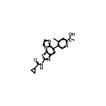 Cc1cc([C@H](C)O)ncc1-c1cc2nc(NC(=O)C3CC3)sc2n2ccnc12